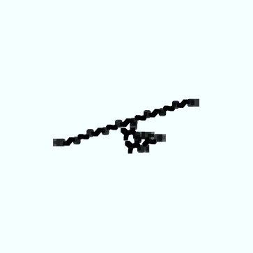 C=C(C)C(=O)O.C=C(C)C(=O)O.CC(O)CO.OCCOCCOCCOCCOCCOCCOCCOCCOCCO